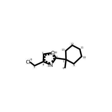 CC1(c2nc(CCl)co2)CCCCC1